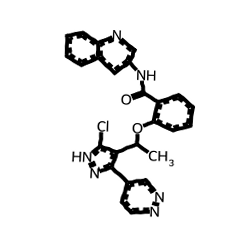 CC(Oc1ccccc1C(=O)Nc1cnc2ccccc2c1)c1c(-c2ccnnc2)n[nH]c1Cl